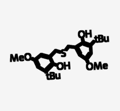 COc1cc(CSCc2cc(OC)cc(C(C)(C)C)c2O)c(O)c(C(C)(C)C)c1